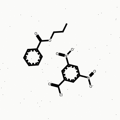 CCCOC(=O)c1ccccc1.O=C(Cl)c1cc([N+](=O)[O-])cc([N+](=O)[O-])c1